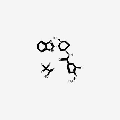 COc1ccc(C(=O)N[C@@H]2CCN(C)[C@@H](c3nc4ccccc4[nH]3)C2)cc1F.O=C(O)C(F)(F)F